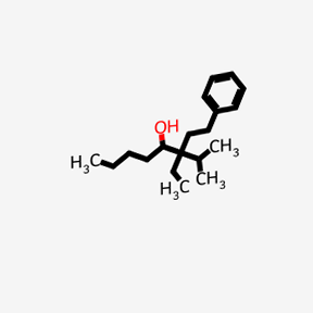 CCCCC(O)C(CC)(CCc1ccccc1)C(C)C